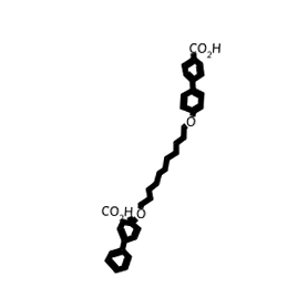 O=C(O)c1ccc(-c2ccc(OCCCCCCCCCCCOC3(C(=O)O)C=CC(c4ccccc4)=CC3)cc2)cc1